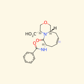 O=C(N[C@H]1C/C=C\C[C@H]2COC[C@@H](C(=O)O)N2C1=O)c1ccccc1